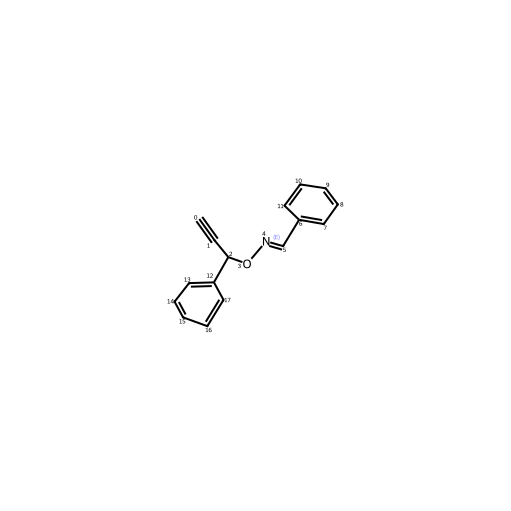 C#CC(O/N=C/c1ccccc1)c1ccccc1